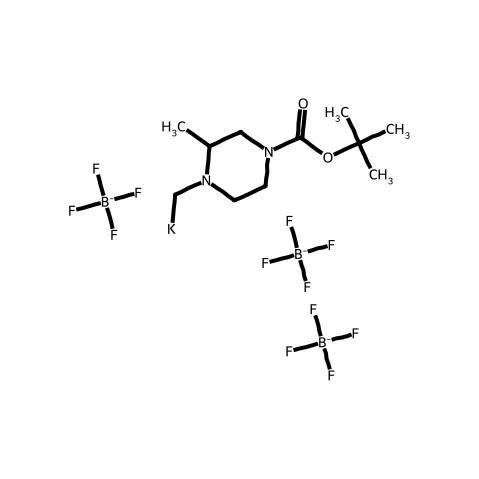 CC1CN(C(=O)OC(C)(C)C)CCN1[CH2][K].F[B-](F)(F)F.F[B-](F)(F)F.F[B-](F)(F)F